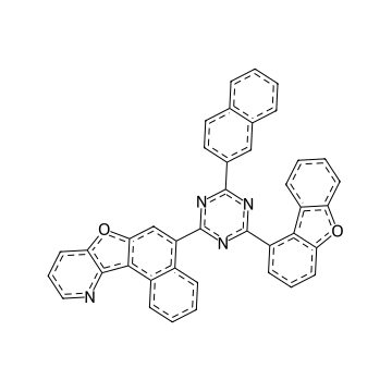 c1ccc2cc(-c3nc(-c4cc5oc6cccnc6c5c5ccccc45)nc(-c4cccc5oc6ccccc6c45)n3)ccc2c1